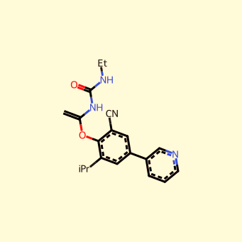 C=C(NC(=O)NCC)Oc1c(C#N)cc(-c2cccnc2)cc1C(C)C